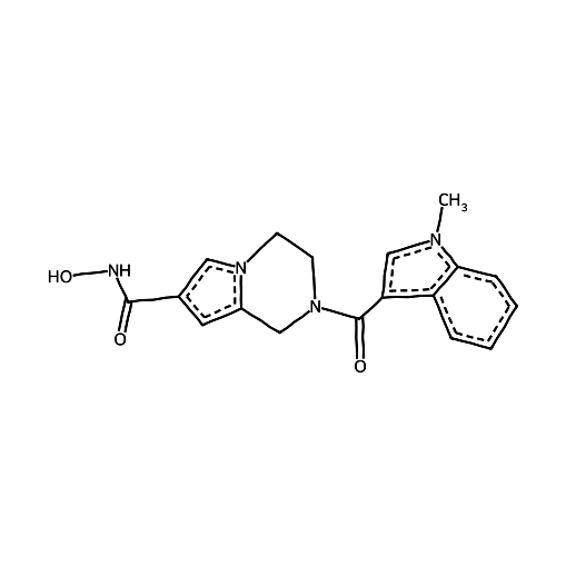 Cn1cc(C(=O)N2CCn3cc(C(=O)NO)cc3C2)c2ccccc21